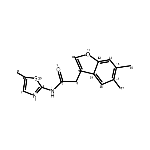 Cc1cnc(NC(=O)Cc2coc3cc(C)c(C)cc23)s1